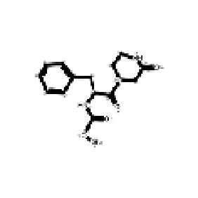 CC(C)(C)OC(=O)N[C@@H](Cc1ccccc1)C(=O)N1CCNC(=O)C1